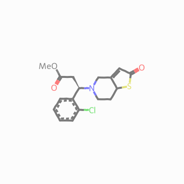 COC(=O)C[C@H](c1ccccc1Cl)N1CCC2SC(=O)C=C2C1